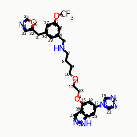 FC(F)(F)Oc1cc(CNCCCCOCCOc2cc(-n3cnnc3)cc3[nH]ncc23)cc(Cc2cnco2)c1